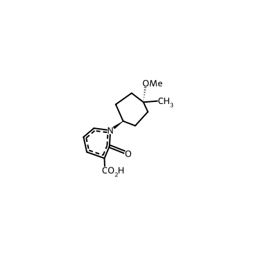 CO[C@]1(C)CC[C@@H](n2cccc(C(=O)O)c2=O)CC1